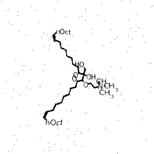 CCCCCCCC/C=C\CCCCCCCC(=O)C(OCC[N+](C)(C)C)C(O)(CO)C(=O)CCCCCCC/C=C\CCCCCCCC